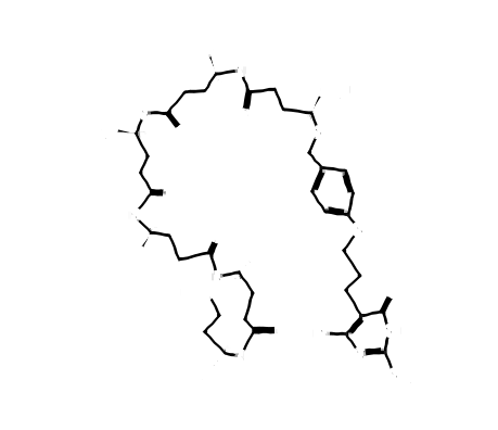 Nc1nc(N)c(CCCNc2ccc(CN[C@@H](CCC(=O)N[C@@H](CCC(=O)N[C@@H](CCC(=O)N[C@@H](CCC(=O)N[C@@H](CCC(=O)N[C@@H](CCC(=O)O)C(=O)O)C(=O)O)C(=O)O)C(=O)O)C(=O)O)C(=O)O)cc2)c(=O)[nH]1